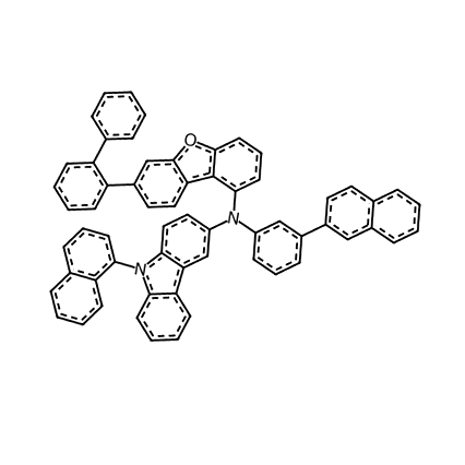 c1ccc(-c2ccccc2-c2ccc3c(c2)oc2cccc(N(c4cccc(-c5ccc6ccccc6c5)c4)c4ccc5c(c4)c4ccccc4n5-c4cccc5ccccc45)c23)cc1